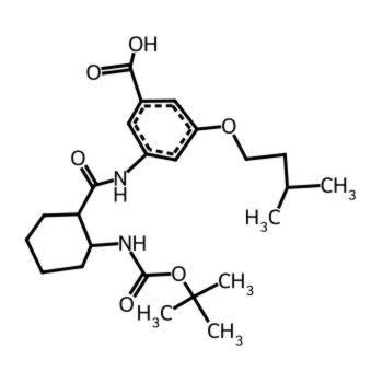 CC(C)CCOc1cc(NC(=O)C2CCCCC2NC(=O)OC(C)(C)C)cc(C(=O)O)c1